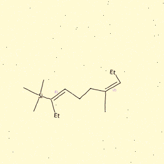 CC/C=C(/C)CC/C=C(\CC)[Si](C)(C)C